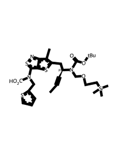 CC#C[C@@H](Cc1sc2c(N(Cc3cccs3)C(=O)O)snc2c1C)N(COCC[Si](C)(C)C)C(=O)OC(C)(C)C